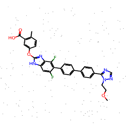 COCCn1ncnc1-c1ccc(-c2ccc(-c3c(F)cc4[nH]c(Oc5ccc(C)c(C(=O)O)c5)nc4c3F)cc2)cc1